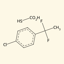 CC(F)(F)c1ccc(Cl)cc1.O=C(O)S